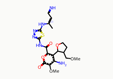 COCC1CCOC1c1c(C(=O)Nc2nnc(N/C(C)=C\C=N)s2)oc(=O)c(OC)c1N